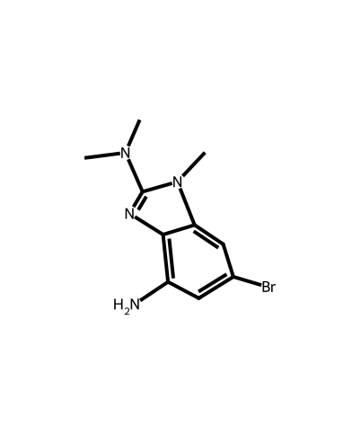 CN(C)c1nc2c(N)cc(Br)cc2n1C